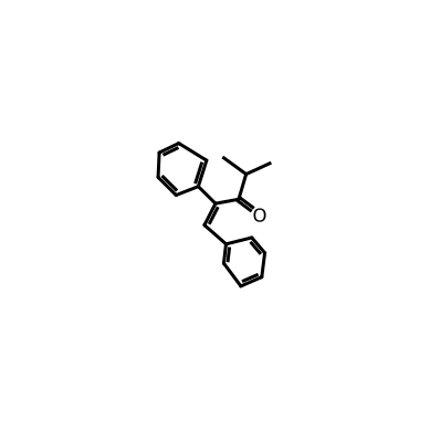 CC(C)C(=O)C(=Cc1ccccc1)c1ccccc1